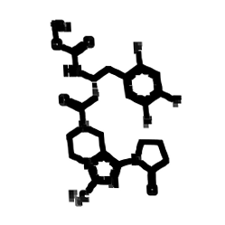 CC(C)(C)OC(=O)N[C@@H](CC(=O)N1CCn2c(C(F)(F)F)nc(N3CCCC3=O)c2C1)Cc1cc(F)c(F)cc1F